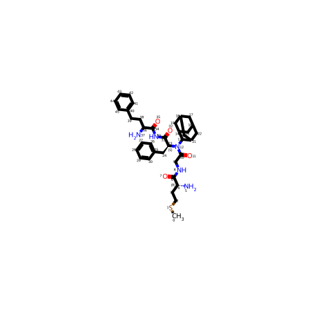 CSCC[C@@H](N)C(=O)NCC(=O)N(C1C2CC3CC(C2)CC1C3)[C@@H](Cc1ccccc1)C(=O)NC(=O)C(N)CCc1ccccc1